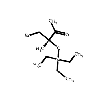 CC[Si](CC)(CC)O[C@](C)(CBr)C(C)=O